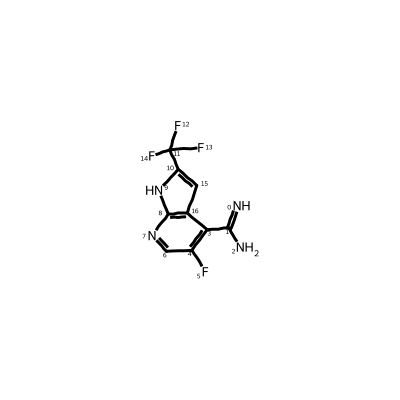 N=C(N)c1c(F)cnc2[nH]c(C(F)(F)F)cc12